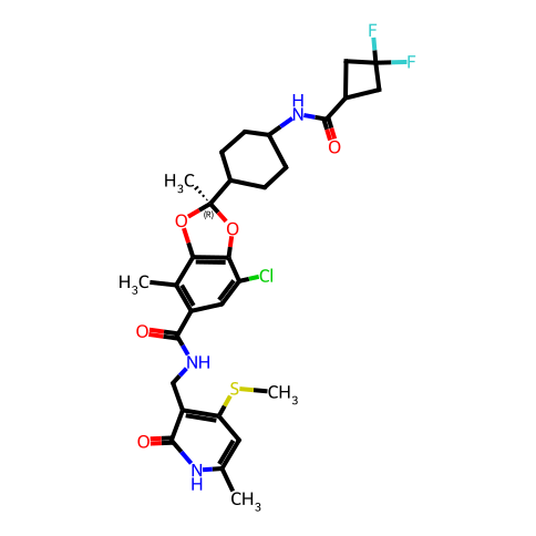 CSc1cc(C)[nH]c(=O)c1CNC(=O)c1cc(Cl)c2c(c1C)O[C@@](C)(C1CCC(NC(=O)C3CC(F)(F)C3)CC1)O2